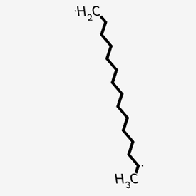 [CH2]CCCCCCCCCCCC[CH]C